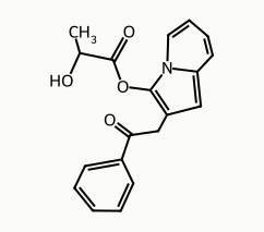 CC(O)C(=O)Oc1c(CC(=O)c2ccccc2)cc2ccccn12